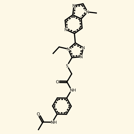 CCn1c(SCC(=O)Nc2ccc(NC(C)=O)cc2)nnc1-c1cc2c(cn1)ncn2C